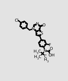 CC(C)(C)N(C(=O)O)c1ccc(-c2cc3c(s2)c(=O)ncn3Cc2ccc(Cl)cc2)cc1F